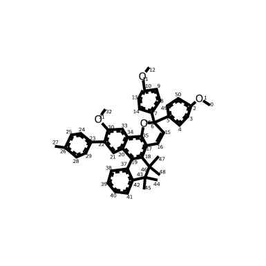 COc1ccc(C2(c3ccc(OC)cc3)C=Cc3c4c(c5cc(-c6ccc(C)cc6)c(OC)cc5c3O2)-c2ccccc2C(C)(C)C4(C)C)cc1